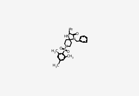 Cc1cc(C)c(S(=O)(=O)N2CCC3(CC2)NC(C(C)C)C(=O)N3Cc2ccccc2)c(C)c1